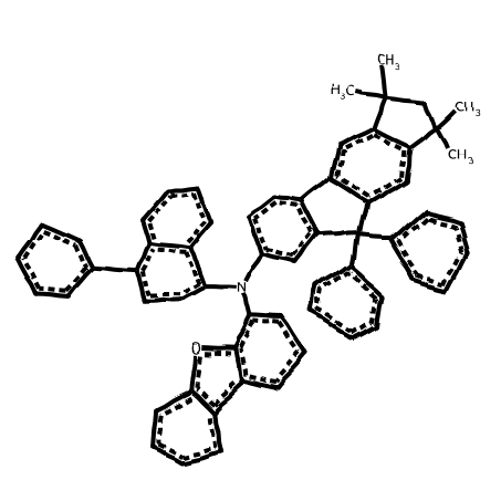 CC1(C)CC(C)(C)c2cc3c(cc21)-c1ccc(N(c2ccc(-c4ccccc4)c4ccccc24)c2cccc4c2oc2ccccc24)cc1C3(c1ccccc1)c1ccccc1